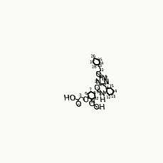 O=C(O)COc1ccc([C@H]2Nc3ccccc3-c3nnc(OCc4ccccc4)nc3O2)cc1OO